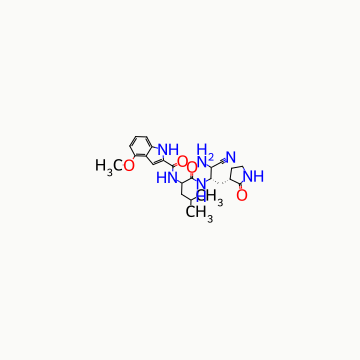 COc1cccc2[nH]c(C(=O)NC(CC(C)C)C(=O)N[C@@H](C[C@@H]3CCNC3=O)C(N)C#N)cc12